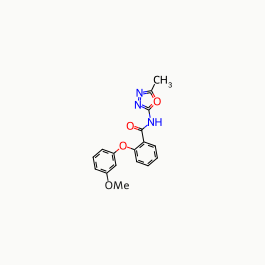 COc1cccc(Oc2ccccc2C(=O)Nc2nnc(C)o2)c1